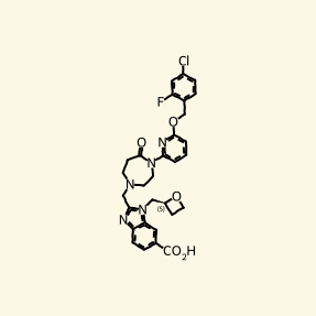 O=C(O)c1ccc2nc(CN3CCC(=O)N(c4cccc(OCc5ccc(Cl)cc5F)n4)CC3)n(C[C@@H]3CCO3)c2c1